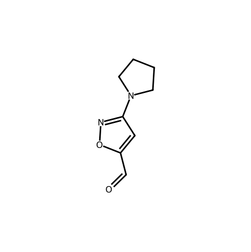 O=Cc1cc(N2CCCC2)no1